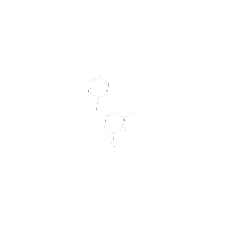 Nc1cc(Cc2ccccc2)cc(Cl)n1